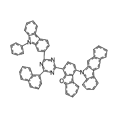 c1ccc(-n2c3ccccc3c3ccc(-c4nc(-c5cccc6ccccc56)nc(-c5ccc(-n6c7ccccc7c7cc8ccccc8cc76)c6c5oc5ccccc56)n4)cc32)cc1